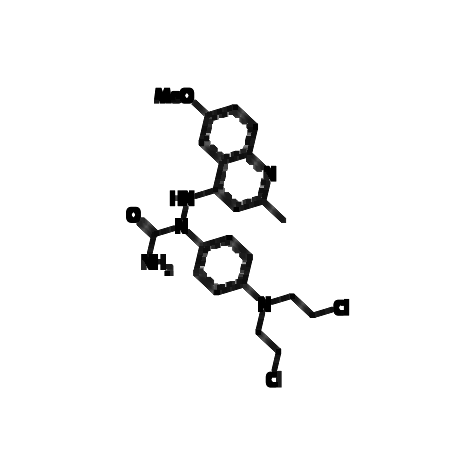 COc1ccc2nc(C)cc(NN(C(N)=O)c3ccc(N(CCCl)CCCl)cc3)c2c1